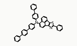 c1ccc(-c2ccc(-c3ccc(N(c4ccc(-c5ccccc5)cc4)c4ccc5c6c(cccc46)-c4sc(-c6ccccc6)nc4-5)cc3)cc2)cc1